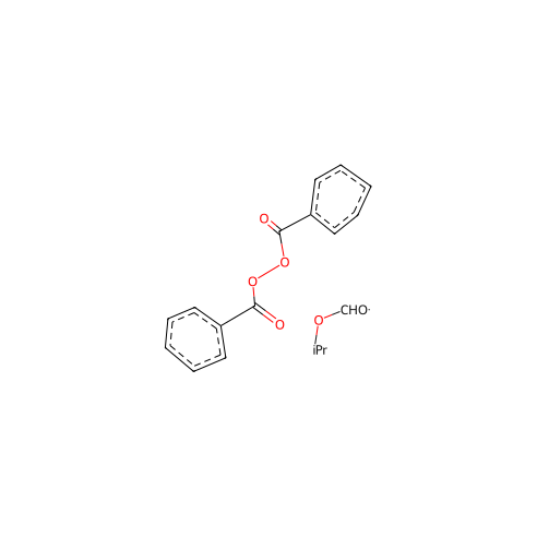 CC(C)O[C]=O.O=C(OOC(=O)c1ccccc1)c1ccccc1